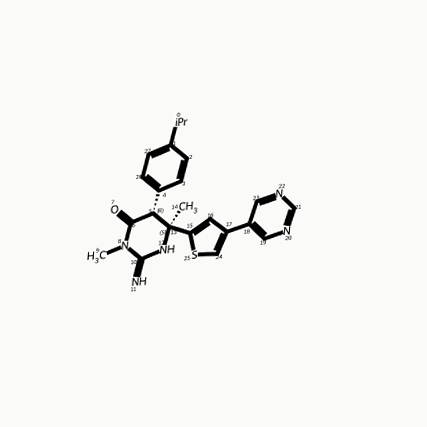 CC(C)c1ccc([C@H]2C(=O)N(C)C(=N)N[C@]2(C)c2cc(-c3cncnc3)cs2)cc1